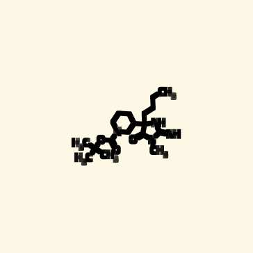 CCCCC1(C2CCCN(C(=O)OC(C)(C)C)C2)NC(=N)N(C)C1=O